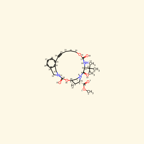 COC(=O)[C@@H]1C[C@@H]2CN1C(=O)[C@H](C(C)(C)C)NC(=O)OCCCC#Cc1cccc3c1CN(C3)C(=O)O2